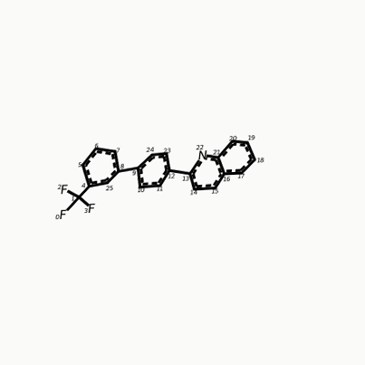 FC(F)(F)c1cccc(-c2ccc(-c3ccc4ccccc4n3)cc2)c1